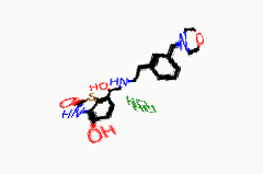 Cl.Cl.O=c1[nH]c2c(O)ccc(C(O)CNCCc3cccc(CN4CCOCC4)c3)c2s1